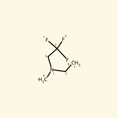 [CH2]N(CC)CC(F)(F)F